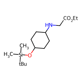 CCOC(=O)CNC1CCC(O[Si](C)(C)C(C)(C)C)CC1